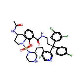 CC(=O)NC1CCN(S(=O)(=O)N2CCNC[C@@H]2CCc2c(F)cncc2[C@@](CCNC(=O)c2ccccc2O)(c2ccc(F)cc2)c2cc(F)cc(F)c2)CC1